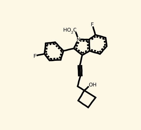 O=C(O)n1c(-c2ccc(F)cc2)c(C#CCC2(O)CCC2)c2cccc(F)c21